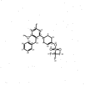 COc1nc(C)nc(C2CC=C(OS(=O)(=O)C(F)(F)F)CC2)c1Cc1ccccc1